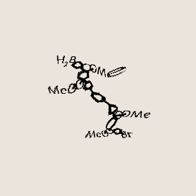 Bc1ccc(C2(OCOC)CCC(OCOC)(c3ccc(-c4ccc(-c5ccc(C6(OCOC)CCC(OCOC)(c7ccc(Br)cc7)CC6)cc5)cc4)cc3)CC2)cc1